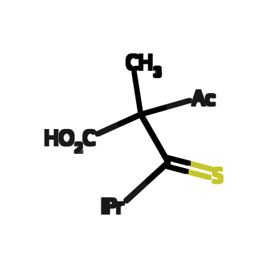 CC(=O)C(C)(C(=O)O)C(=S)C(C)C